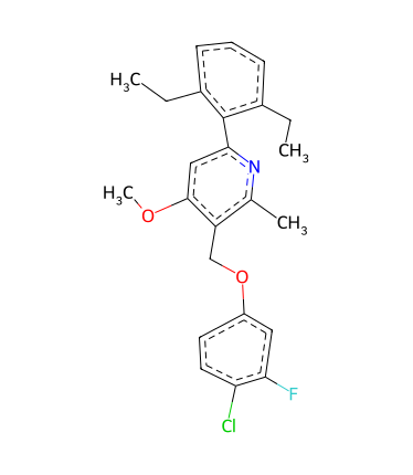 CCc1cccc(CC)c1-c1cc(OC)c(COc2ccc(Cl)c(F)c2)c(C)n1